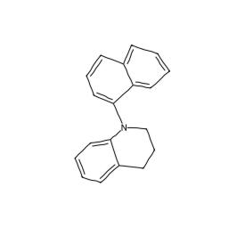 c1ccc2c(c1)CCCN2c1cccc2ccccc12